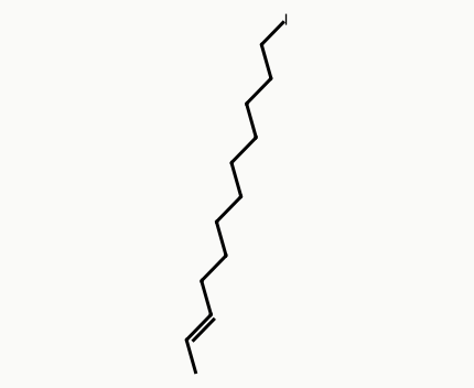 CC=CCCCCCCCCCI